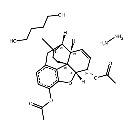 CC(=O)Oc1ccc2c3c1O[C@H]1[C@@H](OC(C)=O)C=C[C@H]4[C@@H](C2)N(C)CC[C@@]341.NN.OCCCCO